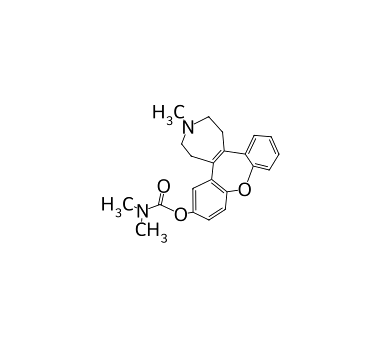 CN1CCC2=C(CC1)c1cc(OC(=O)N(C)C)ccc1Oc1ccccc12